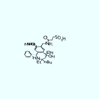 CCCC[C@]1(CC)CS(O)(O)c2cc(CNC(=O)CCS(=O)(=O)O)c(OC)cc2[C@@H](c2ccccc2)N1.N